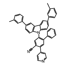 Cc1cccc(-c2ccc3c(c2)c2cc(-c4cccc(C)c4)ccc2n3-c2cc(C#N)c(-c3ccncc3)cc2-c2ccccc2)c1